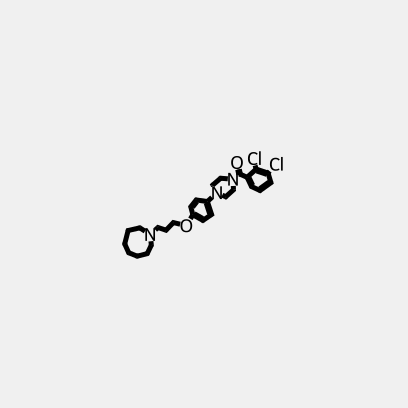 O=C(c1cccc(Cl)c1Cl)N1CCN(c2ccc(OCCCN3CCCCCCC3)cc2)CC1